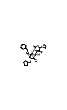 Cc1nc(NNC(=O)[C@@H](CC2CCCC2)CN(C=O)OCc2ccccc2)c(F)c(N2CCC2)n1